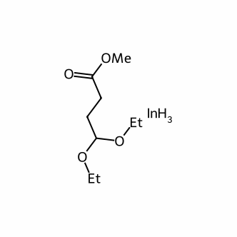 CCOC(CCC(=O)OC)OCC.[InH3]